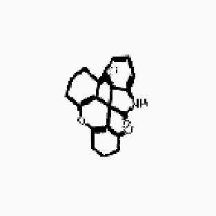 O=C1CCCC2=C1C1(C(=O)Nc3ccccc31)C1=C(CCCC1=O)O2